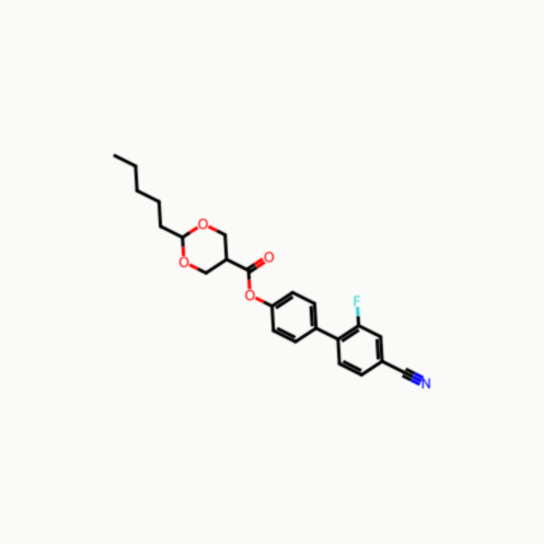 CCCCCC1OCC(C(=O)Oc2ccc(-c3ccc(C#N)cc3F)cc2)CO1